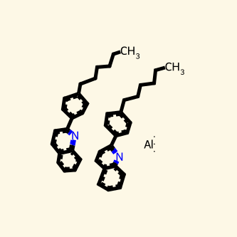 CCCCCCc1ccc(-c2ccc3ccccc3n2)cc1.CCCCCCc1ccc(-c2ccc3ccccc3n2)cc1.[Al]